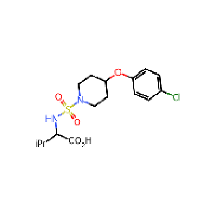 CC(C)C(NS(=O)(=O)N1CCC(Oc2ccc(Cl)cc2)CC1)C(=O)O